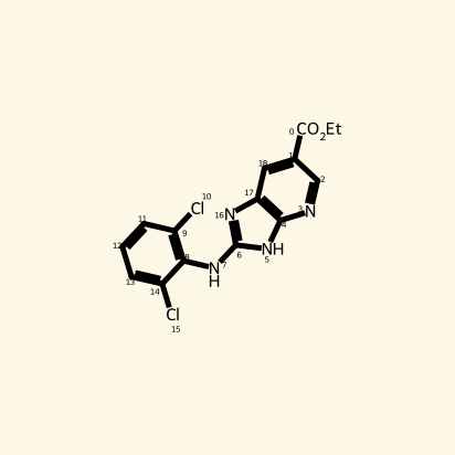 CCOC(=O)c1cnc2[nH]c(Nc3c(Cl)cccc3Cl)nc2c1